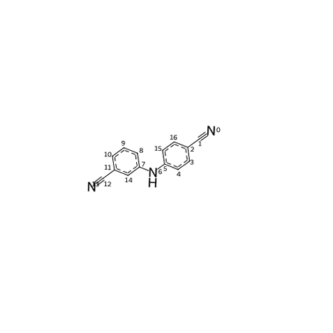 N#Cc1ccc(Nc2cccc(C#N)c2)cc1